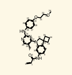 C=CC(=O)Nc1ccc2c(c1)N(c1nc(Nc3ccc(OCCOC)cc3)ncc1F)CC21CCC1